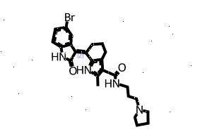 Cc1[nH]c2c(c1C(=O)NCCCN1CCCC1)CCC/C2=C1/C(=O)Nc2ccc(Br)cc21